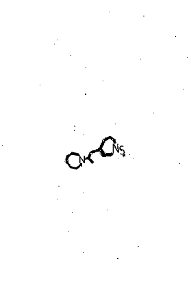 CSN1CCCC(CC(C)N2CCCCCCC2)CC1